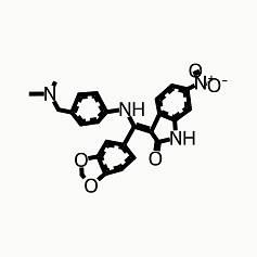 CN(C)Cc1ccc(NC(=C2C(=O)Nc3cc([N+](=O)[O-])ccc32)c2ccc3c(c2)OCO3)cc1